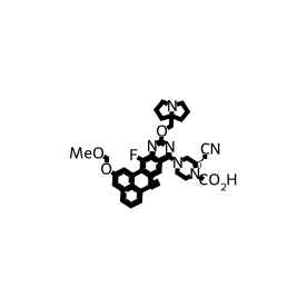 C#Cc1cccc2cc(OCOC)cc(-c3c(F)cc4c(N5CCN(C(=O)O)[C@@H](CC#N)C5)nc(OCC56CCCN5CCC6)nc4c3F)c12